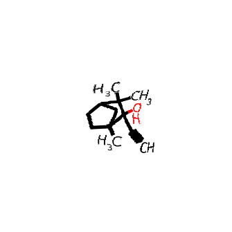 C#CC1(O)C2(C)CCC(C2)C1(C)C